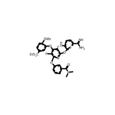 CCOC(=O)c1ccc(OC)c(Oc2c(F)c(Oc3cccc(C(=O)N(C)C)c3)nc(Oc3cc(C(=N)N)ccc3O)c2F)c1